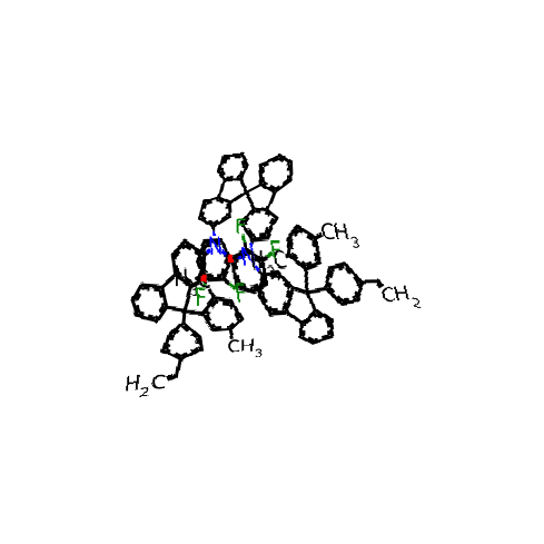 C=Cc1ccc(C2(c3cc(C)ccc3C)c3ccccc3-c3ccc(N(c4ccc5c(c4)C4(c6ccccc6-5)c5ccccc5-c5ccc(N(c6ccc7c(c6)C(c6ccc(C=C)cc6)(c6cc(C)ccc6C)c6ccccc6-7)c6cccc(F)c6F)cc54)c4cccc(F)c4F)cc32)cc1